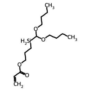 C=CC(=O)OCCC[SiH2]C(OCCCC)OCCCC